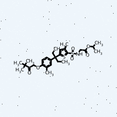 CCC(CC)(c1ccc(OCC(=O)C(C)(C)C)c(C)c1)c1cc(C)c(S(=O)(=O)NCC(=O)OC(C)C)s1